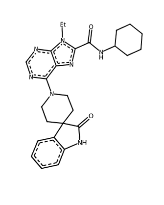 CCn1c(C(=O)NC2CCCCC2)nc2c(N3CCC4(CC3)C(=O)Nc3ccccc34)ncnc21